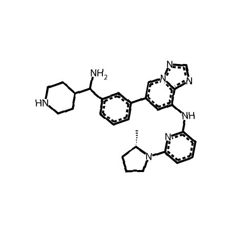 C[C@H]1CCCN1c1cccc(Nc2cc(-c3cccc(C(N)C4CCNCC4)c3)cn3ncnc23)n1